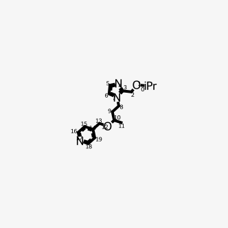 CC(C)OCc1nccn1CCC(C)OCc1ccncc1